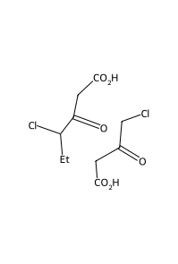 CCC(Cl)C(=O)CC(=O)O.O=C(O)CC(=O)CCl